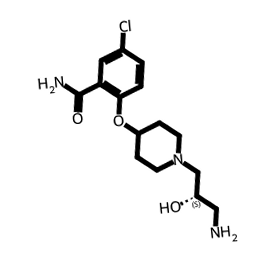 NC[C@H](O)CN1CCC(Oc2ccc(Cl)cc2C(N)=O)CC1